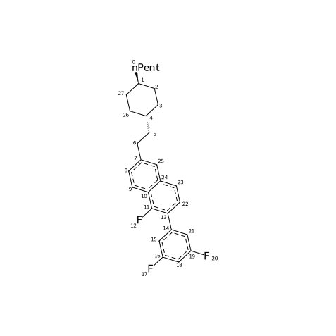 CCCCC[C@H]1CC[C@H](CCc2ccc3c(F)c(-c4cc(F)cc(F)c4)ccc3c2)CC1